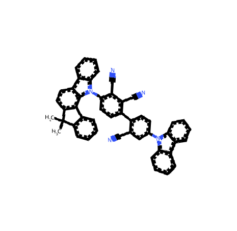 CC1(C)c2ccccc2-c2c1ccc1c3ccccc3n(-c3ccc(-c4ccc(-n5c6ccccc6c6ccccc65)cc4C#N)c(C#N)c3C#N)c21